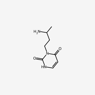 CC(N)CCn1c(=O)cc[nH]c1=O